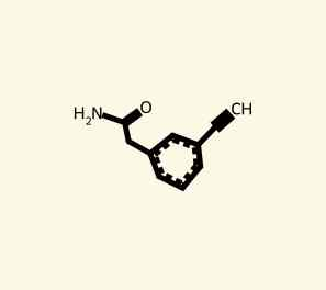 C#Cc1cccc(CC(N)=O)c1